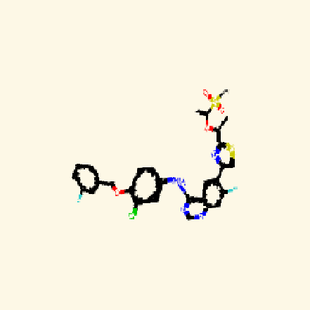 CC(OC(C)S(=O)(=O)C(C)C)c1nc(-c2cc3c(Nc4ccc(OCc5cccc(F)c5)c(Cl)c4)ncnc3cc2F)cs1